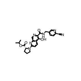 CC(C)OC(=O)[C@H]1CCCN1c1ccc2c(O)c(C(=O)NCc3ccc(C#N)nc3)ncc2n1